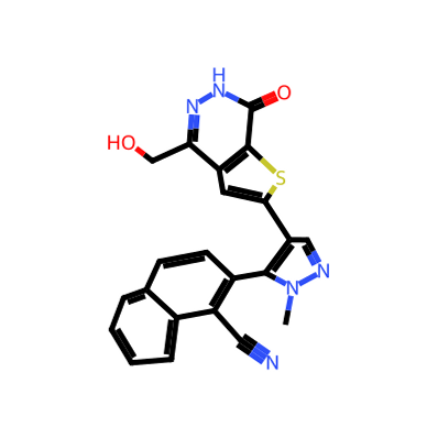 Cn1ncc(-c2cc3c(CO)n[nH]c(=O)c3s2)c1-c1ccc2ccccc2c1C#N